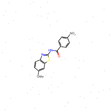 COc1ccc2nc(NC(=O)c3ccc([N+](=O)[O-])cc3)sc2c1